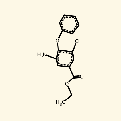 CCOC(=O)c1cc(N)c(Oc2ccccc2)c(Cl)c1